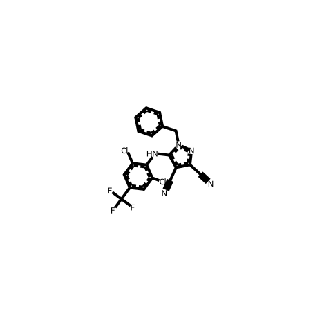 N#Cc1nn(Cc2ccccc2)c(Nc2c(Cl)cc(C(F)(F)F)cc2Cl)c1C#N